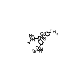 Cc1ccc(S(=O)(=O)n2cc(-c3cncc(C4CC4)n3)c3cc(-c4nnc(Br)o4)ccc32)cc1